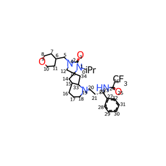 CC(C)N1C(=O)N(CC2CCOCC2)CC12CC1CCCN(CC[C@H](NC(=O)C(F)(F)F)c3ccccc3)C1C2